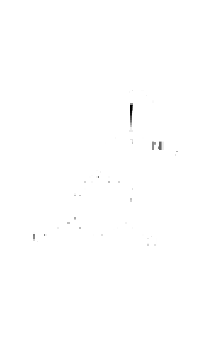 N[C@@H](Cc1cc(Cl)cc(Cl)c1)C(=O)O